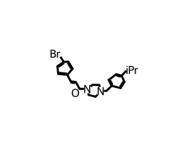 CC(C)c1ccc(CN2CCN(C(=O)C=Cc3ccc(Br)cc3)CC2)cc1